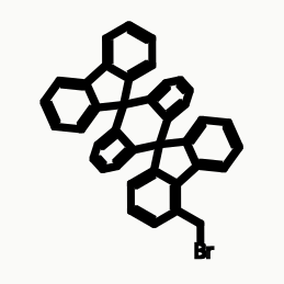 BrCc1cccc2c1-c1ccccc1C21c2ccccc2C2(c3ccccc3-c3ccccc32)c2ccccc21